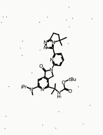 CC(C)N(C)c1cc2c(c(C(C)(C)NC(=O)OC(C)(C)C)n1)CN(c1cccc(-c3nnc4n3C(C)(C)CC4)n1)C2=O